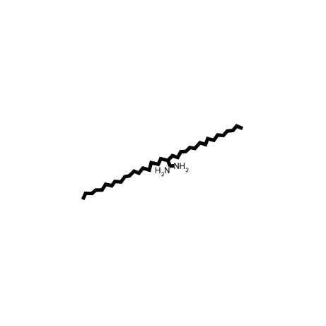 CCCCCCCCCCCCCCCCCCC(CCCCCCCCCCCCCCCC)C(N)N